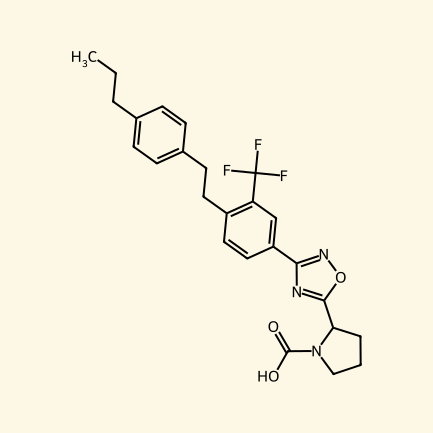 CCCc1ccc(CCc2ccc(-c3noc(C4CCCN4C(=O)O)n3)cc2C(F)(F)F)cc1